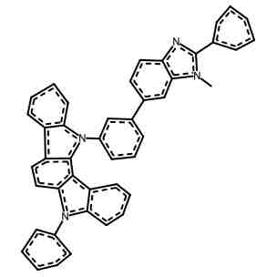 Cn1c(-c2ccccc2)nc2ccc(-c3cccc(-n4c5ccccc5c5ccc6c(c7ccccc7n6-c6ccccc6)c54)c3)cc21